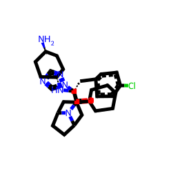 N[C@H]1CC[C@H](N[C@H](Cc2ccc(Cl)cc2)C(=O)N2C3CCC2CC(Cn2cncn2)(C2CCCCC2)C3)CC1